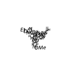 CCOc1cncc(-c2ccc(N(Cc3ccc(OC)cc3)C(=O)C(C(=O)OC(C)(C)C)c3ccnc(NSC4CC4)n3)cc2)n1